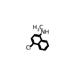 CNc1ccc(Cl)c2ccccc12